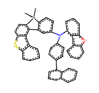 C[Si]1(C)c2ccc(N(c3ccc(-c4cccc5ccccc45)cc3)c3cccc4oc5ccccc5c34)cc2-c2c1ccc1sc3ccccc3c21